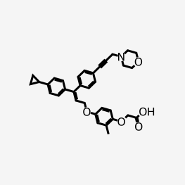 Cc1cc(OC/C=C(\c2ccc(C#CCN3CCOCC3)cc2)c2ccc(C3CC3)cc2)ccc1OCC(=O)O